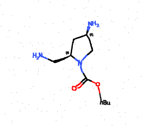 CCCCOC(=O)N1C[C@H](N)C[C@@H]1CN